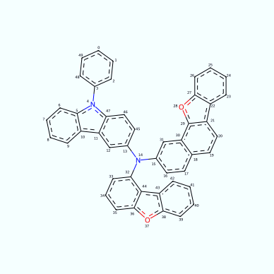 c1ccc(-n2c3ccccc3c3cc(N(c4ccc5ccc6c7ccccc7oc6c5c4)c4cccc5oc6ccccc6c45)ccc32)cc1